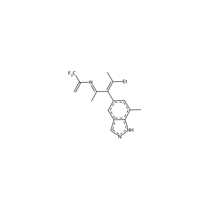 C=C(/N=C(C)/C(=C(\C)CC)c1cc(C)c2[nH]ncc2c1)C(F)(F)F